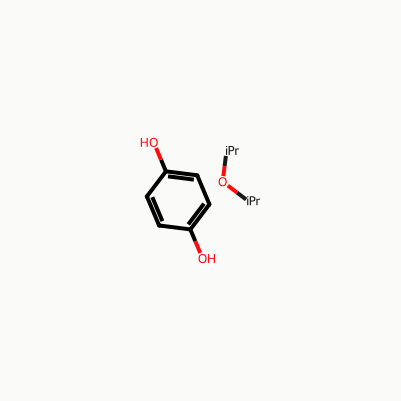 CC(C)OC(C)C.Oc1ccc(O)cc1